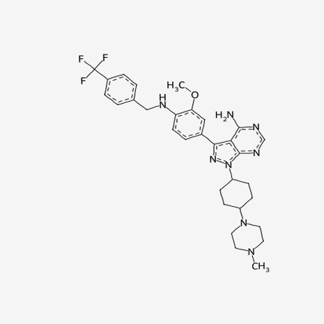 COc1cc(-c2nn(C3CCC(N4CCN(C)CC4)CC3)c3ncnc(N)c23)ccc1NCc1ccc(C(F)(F)F)cc1